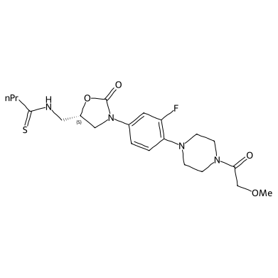 CCCC(=S)NC[C@H]1CN(c2ccc(N3CCN(C(=O)COC)CC3)c(F)c2)C(=O)O1